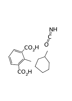 CC1CCCCC1.Cc1c(C(=O)O)cccc1C(=O)O.N=C=O